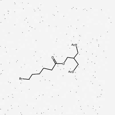 CC(=O)OCC(COC(C)=O)COC(=O)CCCCCBr